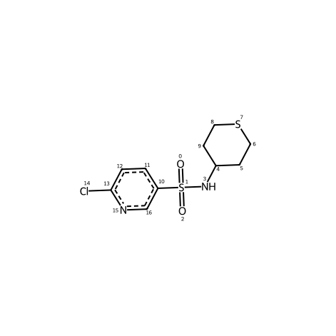 O=S(=O)(NC1CCSCC1)c1ccc(Cl)nc1